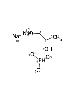 CC(O)CO.O=[PH]([O-])[O-].[Na+].[Na+]